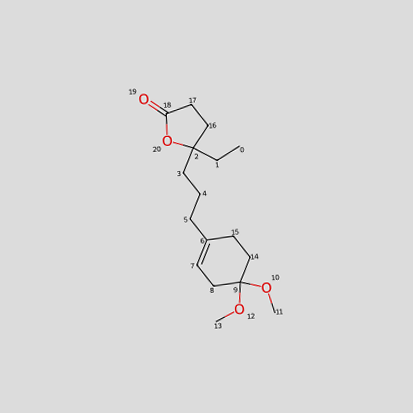 CCC1(CCCC2=CCC(OC)(OC)CC2)CCC(=O)O1